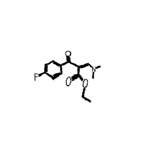 CCOC(=O)C(=CN(C)C)C(=O)c1ccc(F)cc1